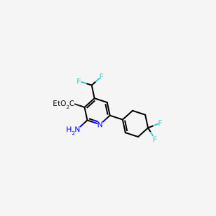 CCOC(=O)c1c(C(F)F)cc(C2=CCC(F)(F)CC2)nc1N